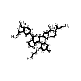 C=CC(=O)N1CCn2nc(-c3nc(-c4ccc5c(c4)c(C)nn5C)c4ccsc4c3-c3c(F)cc(F)cc3OCCO)cc2[C@H]1C